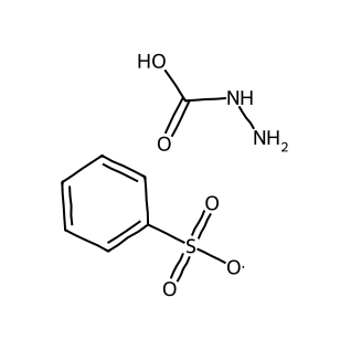 NNC(=O)O.[O]S(=O)(=O)c1ccccc1